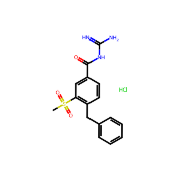 CS(=O)(=O)c1cc(C(=O)NC(=N)N)ccc1Cc1ccccc1.Cl